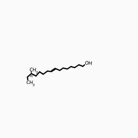 CC[C@@H](C)CCCCC=CCCCCCCCO